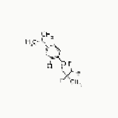 CC(C)c1ccc(OCC(C)(F)C(F)F)c(Cl)c1